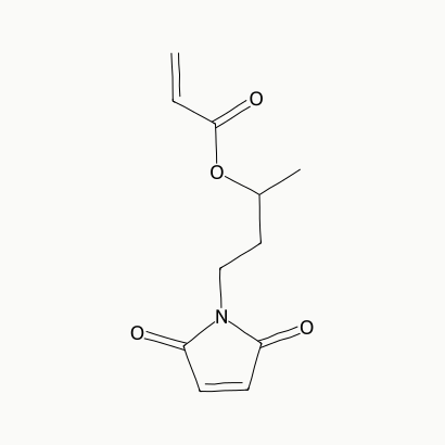 C=CC(=O)OC(C)CCN1C(=O)C=CC1=O